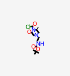 C[C@H]1CN(CCNC(=O)OC(C)(C)C)CC(=O)N1C(=O)Cl